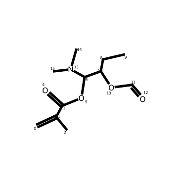 C=C(C)C(=O)OC(C(CC)OC=O)N(C)C